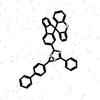 c1ccc(C2=NC(c3ccc4c(c3)C3(c5ccccc5Oc5ccccc53)c3ccccc3-4)N3C(c4ccc(-c5ccccc5)cc4)N23)cc1